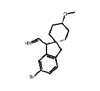 CO[C@H]1CC[C@]2(CC1)Cc1ccc(Br)cc1C2C=N